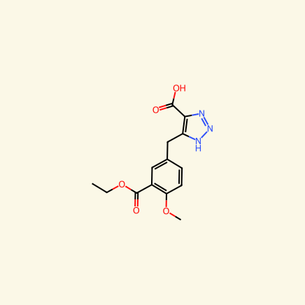 CCOC(=O)c1cc(Cc2[nH]nnc2C(=O)O)ccc1OC